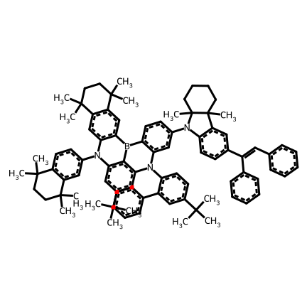 CC(C)(C)c1ccc(N2c3cc(N4c5ccc(/C(=C/c6ccccc6)c6ccccc6)cc5C5(C)CCCCC45C)ccc3B3c4cc5c(cc4N(c4ccc6c(c4)C(C)(C)CCC6(C)C)c4cc(C(C)(C)C)cc2c43)C(C)(C)CCC5(C)C)c(-c2ccccc2)c1